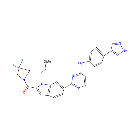 COCCn1c(C(=O)N2CC(F)(F)C2)cc2ccc(-c3nccc(Nc4ccc(-c5cn[nH]c5)cc4)n3)cc21